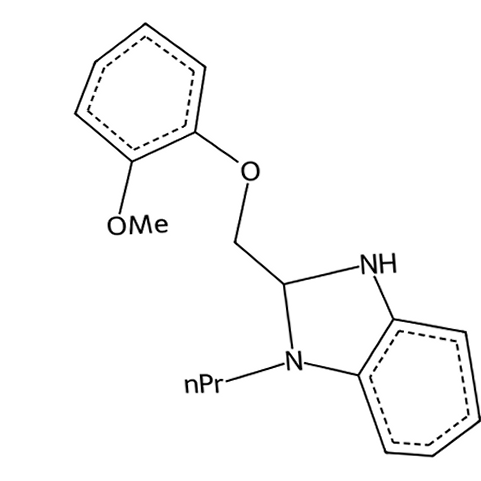 CCCN1c2ccccc2NC1COc1ccccc1OC